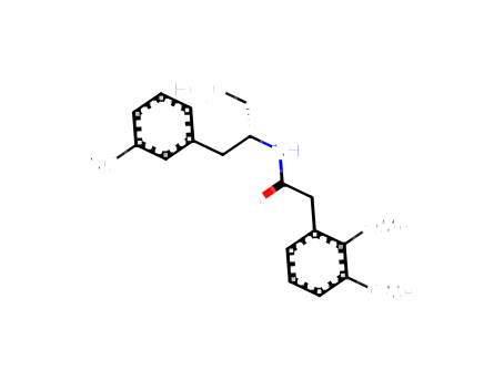 COc1cccc(CC(=O)N[C@@H](CC(=O)O)Cc2cccc(C#N)c2)c1OC